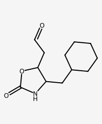 O=CCC1OC(=O)NC1CC1CCCCC1